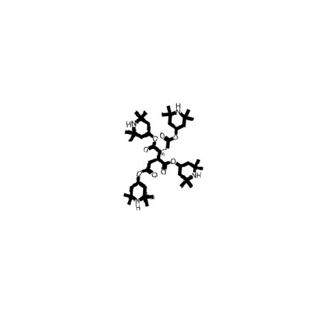 CC1(C)CC(OC(=O)CC(C(=O)OC2CC(C)(C)NC(C)(C)C2)[C@@H](CC(=O)OC2CC(C)(C)NC(C)(C)C2)C(=O)OC2CC(C)(C)NC(C)(C)C2)CC(C)(C)N1